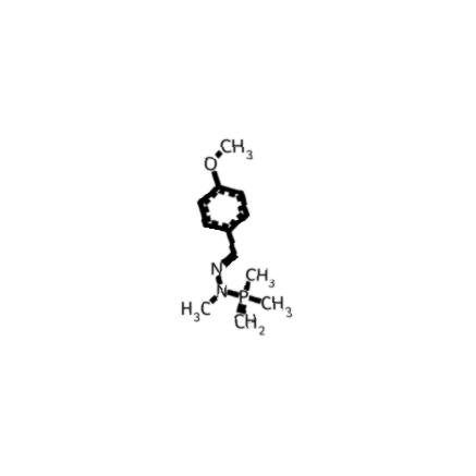 C=P(C)(C)N(C)N=Cc1ccc(OC)cc1